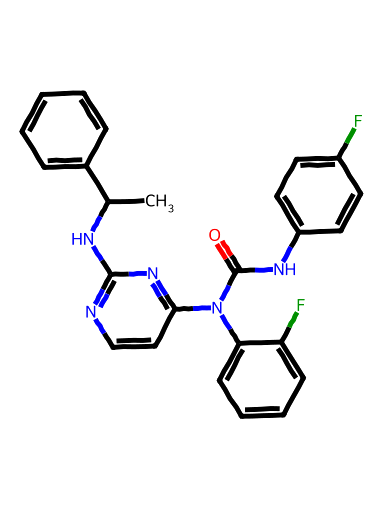 CC(Nc1nccc(N(C(=O)Nc2ccc(F)cc2)c2ccccc2F)n1)c1ccccc1